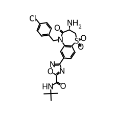 CC(C)(C)NC(=O)c1nc(-c2ccc3c(c2)N(Cc2ccc(Cl)cc2)C(=O)[C@@H](N)CS3(=O)=O)no1